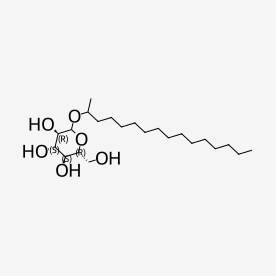 CCCCCCCCCCCCCCC(C)OC1O[C@H](CO)[C@@H](O)[C@H](O)[C@H]1O